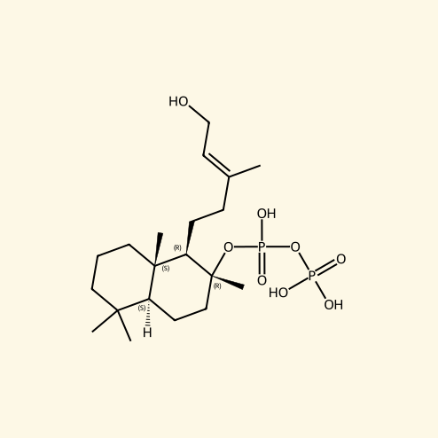 CC(=CCO)CC[C@@H]1[C@@]2(C)CCCC(C)(C)[C@@H]2CC[C@@]1(C)OP(=O)(O)OP(=O)(O)O